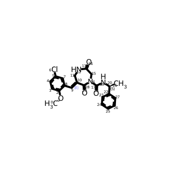 COc1ccc(Cl)cc1/C=C1\CNC(=O)CN(C(=O)N[C@@H](C)c2ccccc2)C1=O